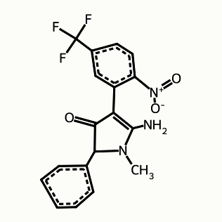 CN1C(N)=C(c2cc(C(F)(F)F)ccc2[N+](=O)[O-])C(=O)C1c1ccccc1